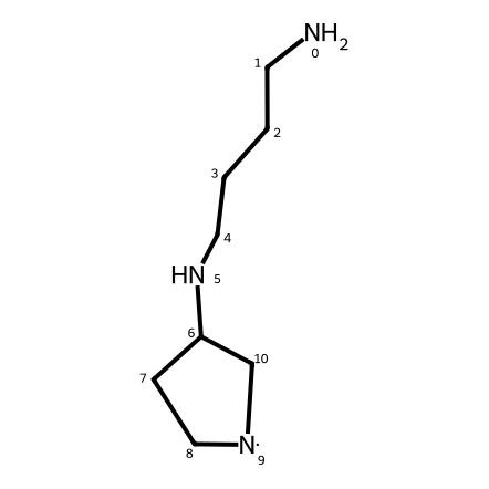 NCCCCNC1CC[N]C1